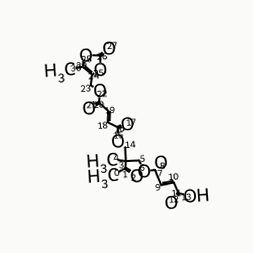 CC(=O)C(C)(COC(=O)/C=C/C(=O)O)COC(=O)/C=C/C(=O)OCc1oc(=O)oc1C